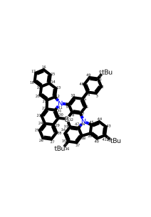 CC(C)(C)c1ccc(-c2cc3c4c(c2)-n2c5cc6ccccc6cc5c5cc6ccccc6c(c52)B4c2cc(C(C)(C)C)cc4c5cc(C(C)(C)C)ccc5n-3c24)cc1